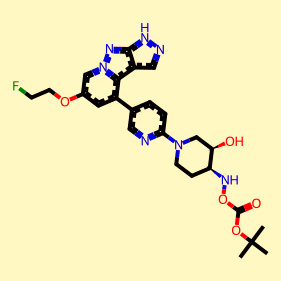 CC(C)(C)OC(=O)ON[C@H]1CCN(c2ccc(-c3cc(OCCF)cn4nc5[nH]ncc5c34)cn2)C[C@H]1O